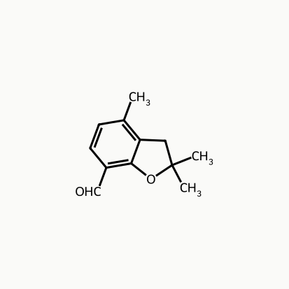 Cc1ccc(C=O)c2c1CC(C)(C)O2